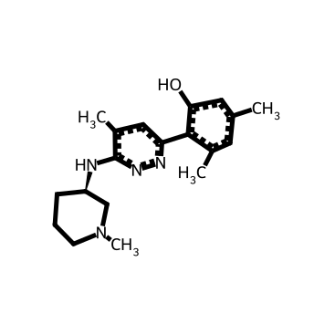 Cc1cc(C)c(-c2cc(C)c(N[C@@H]3CCCN(C)C3)nn2)c(O)c1